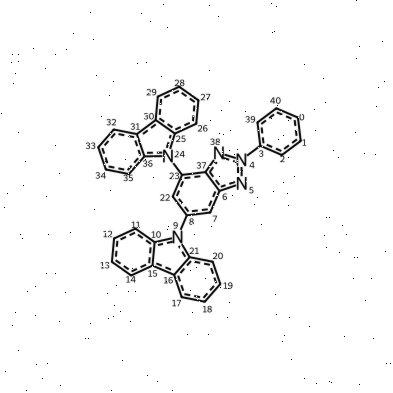 c1ccc(-n2nc3cc(-n4c5ccccc5c5ccccc54)cc(-n4c5ccccc5c5ccccc54)c3n2)cc1